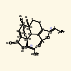 CCC/C=C1\OC(=O)C2=C1CC[C@@H]1C2[C@@]23CC[C@@H]1C=C2C(=O)O/C3=C\CCC